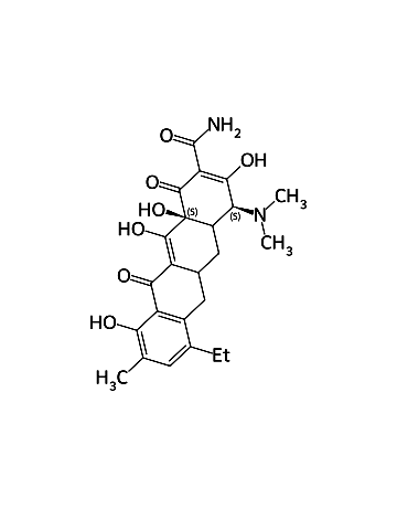 CCc1cc(C)c(O)c2c1CC1CC3[C@H](N(C)C)C(O)=C(C(N)=O)C(=O)[C@@]3(O)C(O)=C1C2=O